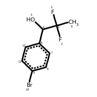 CC(F)(F)C(O)c1ccc(Br)cc1